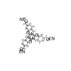 N#COCC1CCC(Cn2c(=O)n(CC3CCC(COC#N)CC3)c(=O)n(CC3CCC(COC#N)CC3)c2=O)CC1